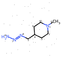 CN1CCC(CN=NN)CC1